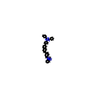 c1ccc(-c2nc(-c3ccccc3)nc(-c3ccc(-c4ccc5ccc(-c6ccc(-n7cnc8ccccc87)cc6)cc5c4)cc3)n2)cc1